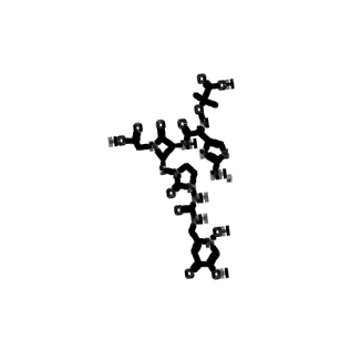 CC(C)(O/N=C(\C(=O)N[C@@H]1C(=O)N(CC(=O)O)[C@@H]1SN1CCN(NC(=O)NCc2cc(=O)c(O)cn2O)C1=O)c1csc(N)n1)C(=O)O